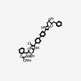 CCCN(Cc1ncc(-c2ccc(-c3ccc(-c4[nH]c(CN(CCC)C(=O)[C@H](NC(=O)OC)c5ccccc5)nc4Cl)cc3)cc2)[nH]1)C(=O)Cc1ccccc1